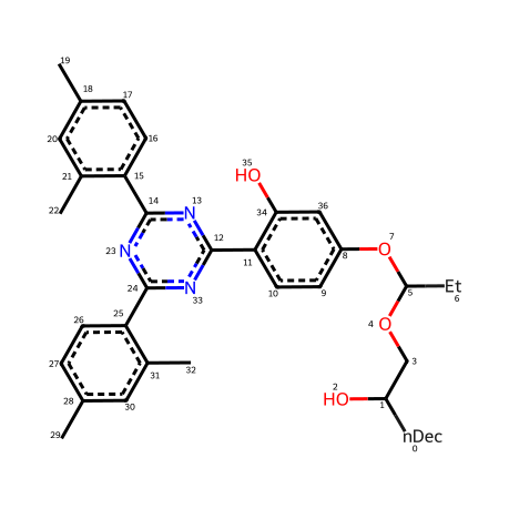 CCCCCCCCCCC(O)COC(CC)Oc1ccc(-c2nc(-c3ccc(C)cc3C)nc(-c3ccc(C)cc3C)n2)c(O)c1